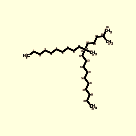 CCCCCCCCCC[N+](C)(CCCCCCCCCC)CCCC(C)C